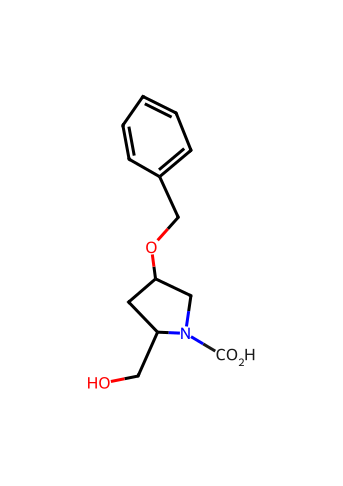 O=C(O)N1CC(OCc2ccccc2)CC1CO